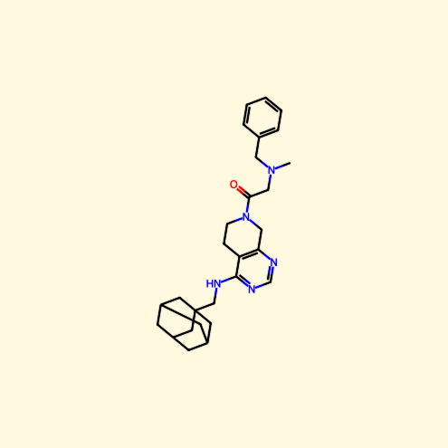 CN(CC(=O)N1CCc2c(ncnc2NCC23CC4CC(CC(C4)C2)C3)C1)Cc1ccccc1